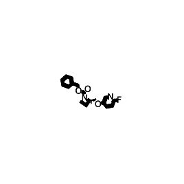 O=C(OCc1ccccc1)N1CC[C@@H]1COc1ccc(F)nc1